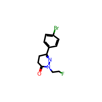 O=C1CCC(c2ccc(Br)cc2)=NN1CCF